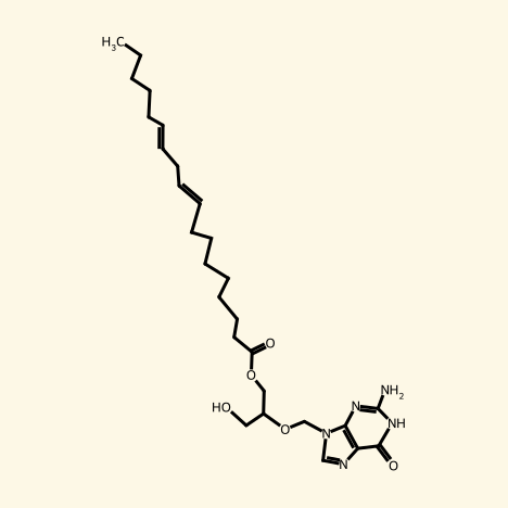 CCCCCC=CCC=CCCCCCCCC(=O)OCC(CO)OCn1cnc2c(=O)[nH]c(N)nc21